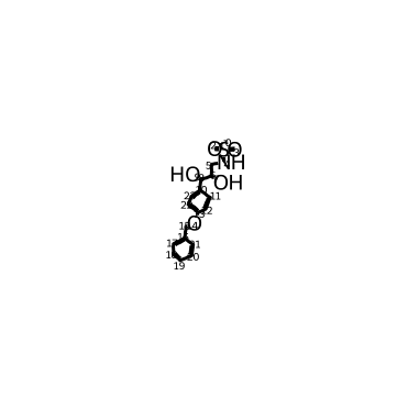 CS(=O)(=O)NCC(O)C(O)c1ccc(OCc2ccccc2)cc1